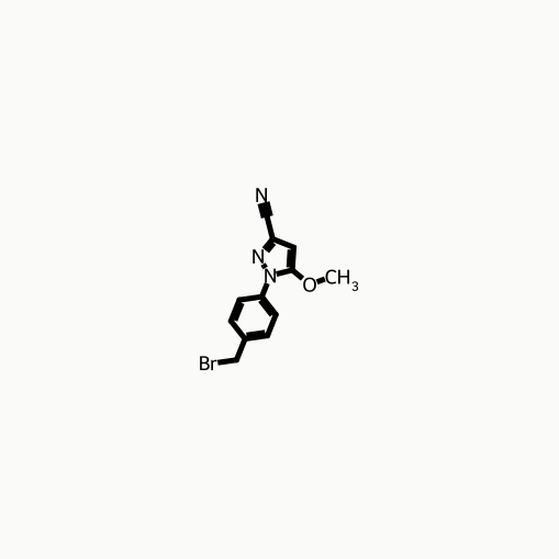 COc1cc(C#N)nn1-c1ccc(CBr)cc1